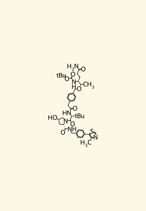 Cc1ncsc1-c1ccc(CNC(=O)[C@@H]2C[C@@H](O)CN2C(=O)[C@@H](NC(=O)Cc2ccc(CO[C@H](C)[C@H](CCC(N)=O)NC(=O)OC(C)(C)C)cc2)C(C)(C)C)cc1